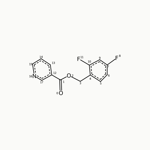 O=C(OCc1ccc(F)cc1F)c1cccnc1